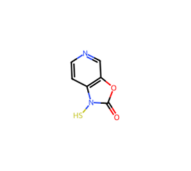 O=c1oc2cnccc2n1S